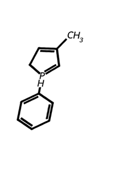 CC1=CC[PH](c2ccccc2)=C1